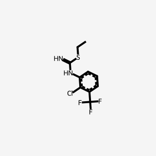 CCSC(=N)Nc1cccc(C(F)(F)F)c1Cl